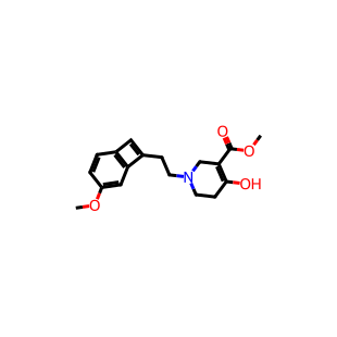 COC(=O)C1=C(O)CCN(CCC2=Cc3ccc(OC)cc32)C1